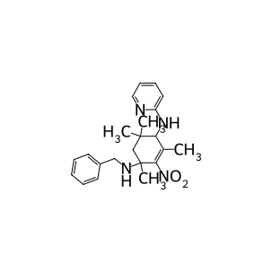 CC1=C([N+](=O)[O-])C(C)(NCc2ccccc2)CC(C)(C)C1Nc1ccccn1